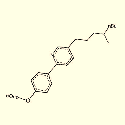 CCCCCCCCOc1ccc(-c2ccc(CCCC(C)CCCC)cn2)cc1